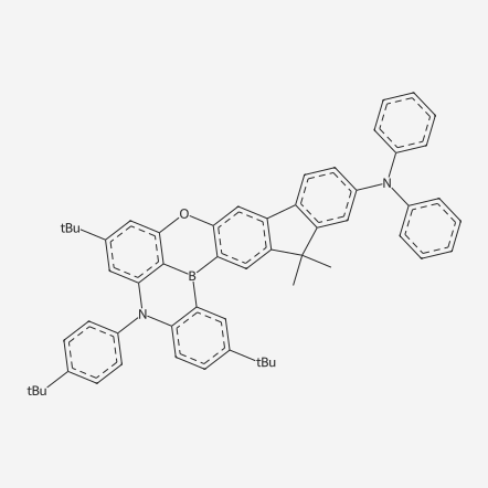 CC(C)(C)c1ccc(N2c3ccc(C(C)(C)C)cc3B3c4cc5c(cc4Oc4cc(C(C)(C)C)cc2c43)-c2ccc(N(c3ccccc3)c3ccccc3)cc2C5(C)C)cc1